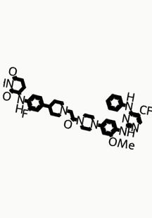 COc1cc(N2CCN(C(=O)CN3CCC(c4ccc(NC5CCC(=O)NC5=O)c(F)c4)CC3)CC2)ccc1Nc1ncc(C(F)(F)F)c(Nc2ccccc2)n1